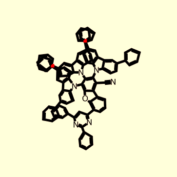 N#Cc1c(-n2c3ccc(C4=CC=CCC4)cc3c3cc(-c4ccccc4)ccc32)c(-n2c3ccc(-c4ccccc4)cc3c3cc(-c4ccccc4)ccc32)c(-n2c3ccc(-c4ccccc4)cc3c3cc(-c4ccccc4)ccc32)c2oc3c(-c4cc(-c5ccccc5)nc(-c5ccccc5)n4)cccc3c12